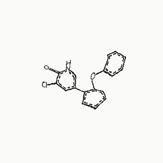 O=c1[nH]cc(-c2ccccc2Oc2ccccc2)cc1Cl